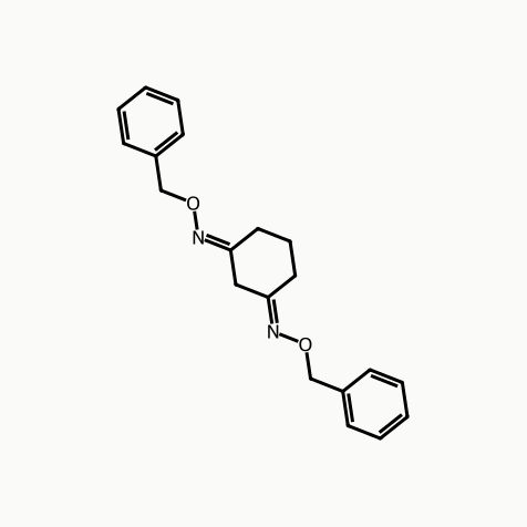 c1ccc(CON=C2CCCC(=NOCc3ccccc3)C2)cc1